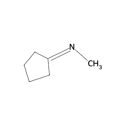 CN=C1CCCC1